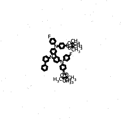 CC1(C)OB(c2ccc(N(c3ccc(F)cc3)c3ccc4c(c3)c3cc(N(c5ccc(F)cc5)c5ccc(B6OC(C)(C)C(C)(C)O6)cc5)ccc3n4-c3cccc(-c4ccccc4)c3)cc2)OC1(C)C